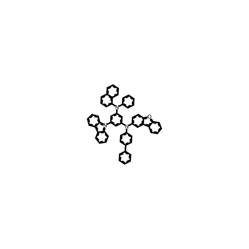 c1ccc(-c2ccc(N(c3cc(N(c4ccccc4)c4cccc5ccccc45)cc(-n4c5ccccc5c5ccccc54)c3)c3ccc4oc5ccccc5c4c3)cc2)cc1